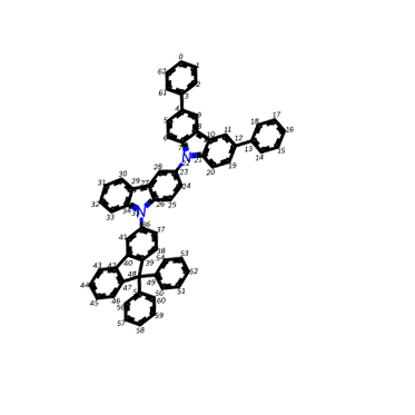 c1ccc(-c2ccc3c(c2)c2cc(-c4ccccc4)ccc2n3-c2ccc3c(c2)c2ccccc2n3-c2ccc3c(c2)-c2ccccc2C3(c2ccccc2)c2ccccc2)cc1